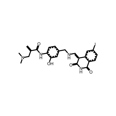 C=C(CN(C)C)C(=O)Nc1ccc(CNC=C2C(=O)NC(=O)c3ccc(I)cc32)cc1O